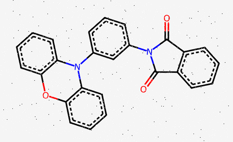 O=C1c2ccccc2C(=O)N1c1cccc(N2c3ccccc3Oc3ccccc32)c1